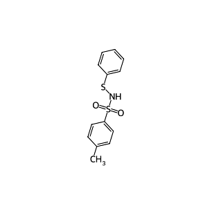 Cc1ccc(S(=O)(=O)NSc2ccccc2)cc1